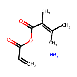 C=CC(=O)OC(=O)C(C)=C(C)C.N